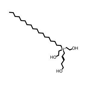 CCCCCCCCCCCCCCCCCC[N+](CC=CCCO)(CCO)CCO